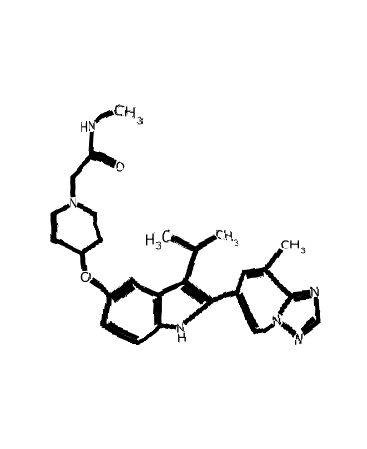 CNC(=O)CN1CCC(Oc2ccc3[nH]c(-c4cc(C)c5ncnn5c4)c(C(C)C)c3c2)CC1